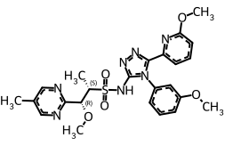 COc1cccc(-n2c(NS(=O)(=O)[C@@H](C)[C@H](OC)c3ncc(C)cn3)nnc2-c2cccc(OC)n2)c1